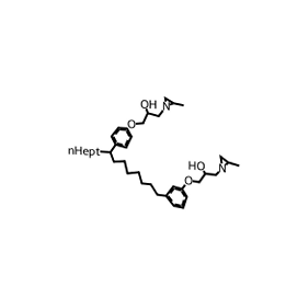 CCCCCCCC(CCCCCCCc1cccc(OCC(O)CN2CC2C)c1)c1ccc(OCC(O)CN2CC2C)cc1